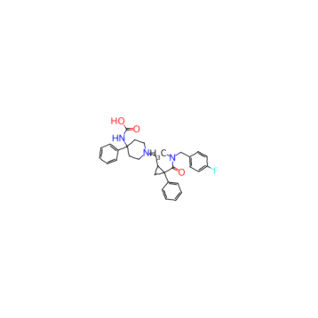 CN(Cc1ccc(F)cc1)C(=O)C1(c2ccccc2)CC1CN1CCC(NC(=O)O)(c2ccccc2)CC1